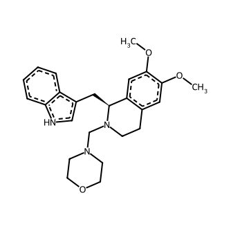 COc1cc2c(cc1OC)[C@H](Cc1c[nH]c3ccccc13)N(CN1CCOCC1)CC2